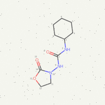 O=C(NC1CCCCC1)NN1CCOC1=O